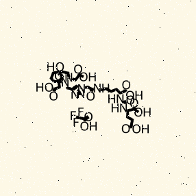 O=C(O)C(F)(F)F.O=C(O)CCC(NC(=O)NC(CCCCNC(=O)Cn1cc(CN(N(CC(=O)O)CC(=O)O)C2(CC(=O)O)CCCCC2)nn1)C(=O)O)C(=O)O